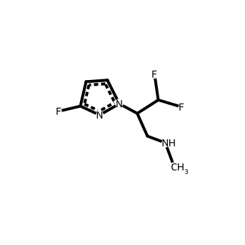 CNCC(C(F)F)n1ccc(F)n1